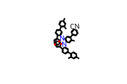 Cc1ccc(-c2ccc3c4ccccc4n(-c4cc(C)c(-c5cccc(C#N)c5)cc4-n4c5ccccc5c5ccc(-c6ccc(C)cc6C)cc54)c3c2)c(C)c1